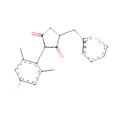 Cc1cc(F)cc(C)c1C1C(=O)CC(Cc2ccccn2)C1=O